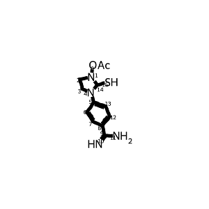 CC(=O)ON1CCN(c2ccc(C(=N)N)cc2)C1S